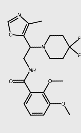 COc1cccc(C(=O)NCC(c2ocnc2C)N2CCC(F)(F)CC2)c1OC